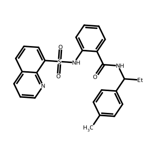 CCC(NC(=O)c1ccccc1NS(=O)(=O)c1cccc2cccnc12)c1ccc(C)cc1